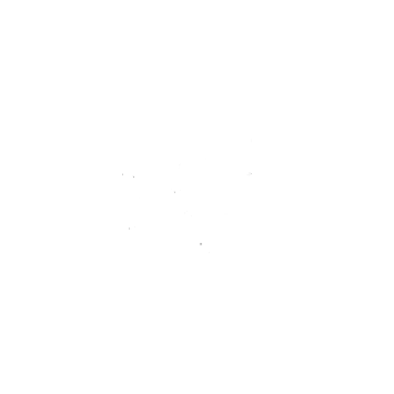 Cl.O=C(Cl)C1Cc2cnc3cccc(n23)S1